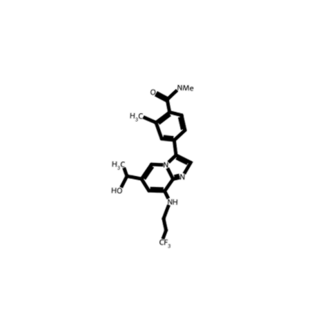 CNC(=O)c1ccc(-c2cnc3c(NCCC(F)(F)F)cc(C(C)O)cn23)cc1C